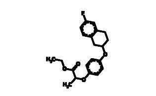 CCOC(=O)C(C)Oc1ccc(OC2CCc3cc(F)ccc3C2)cc1